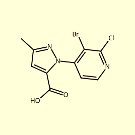 Cc1cc(C(=O)O)n(-c2ccnc(Cl)c2Br)n1